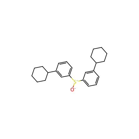 [O-][S+](c1cccc(C2CCCCC2)c1)c1cccc(C2CCCCC2)c1